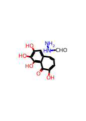 NNC=O.O=c1c(O)cccc2cc(O)c(O)c(O)c12